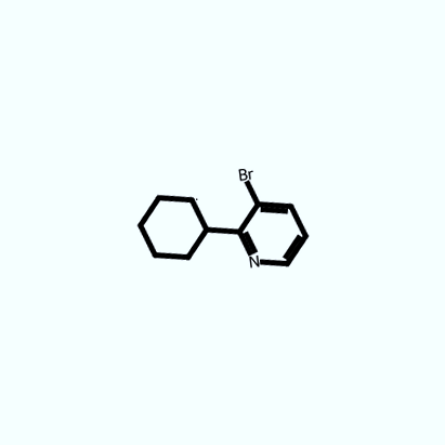 Brc1cccnc1C1[CH]CCCC1